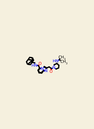 CC(C)N[C@@H]1CCCN(C(=O)Cc2cn3c(C(=O)NCC45CC6CC(CC(C6)C4)C5)cccc3n2)C1